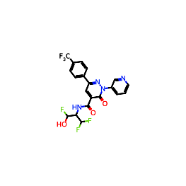 O=C(NC(C(O)F)C(F)F)c1cc(-c2ccc(C(F)(F)F)cc2)nn(-c2cccnc2)c1=O